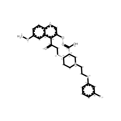 COc1ccc2ncc(Cl)c(C(=O)CC[C@H]3CCN(CCSc4cccc(F)c4)C[C@H]3C(=O)O)c2c1